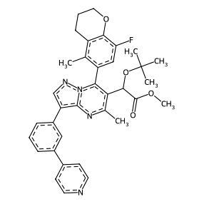 COC(=O)C(OC(C)(C)C)c1c(C)nc2c(-c3cccc(-c4ccncc4)c3)cnn2c1-c1cc(F)c2c(c1C)CCCO2